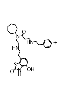 O=C(CCNCCc1ccc(F)cc1)N(CCNCCc1ccc(O)c2[nH]c(=O)sc12)C1CCCCCC1